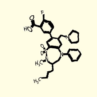 CCCCC1CN(c2ccccc2)c2cc(CN3CCCC3)c(-c3ccc(F)c(C(=O)O)c3)cc2S(=O)(=O)N1C